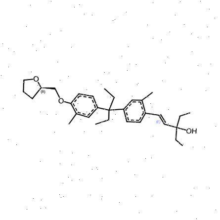 CCC(O)(/C=C/c1ccc(C(CC)(CC)c2ccc(OC[C@H]3CCCO3)c(C)c2)cc1C)CC